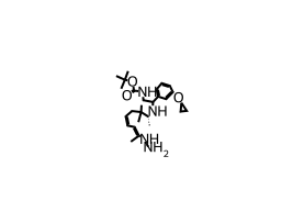 C/C(=C\C=C/CC(C)(C)[C@@H](C)NC(CNC(=O)OC(C)(C)C)c1cccc(OC2CC2)c1)NN